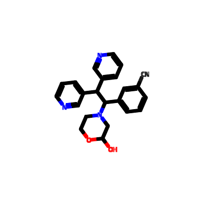 N#Cc1cccc(C(C(c2cccnc2)c2cccnc2)N2CCOC(O)C2)c1